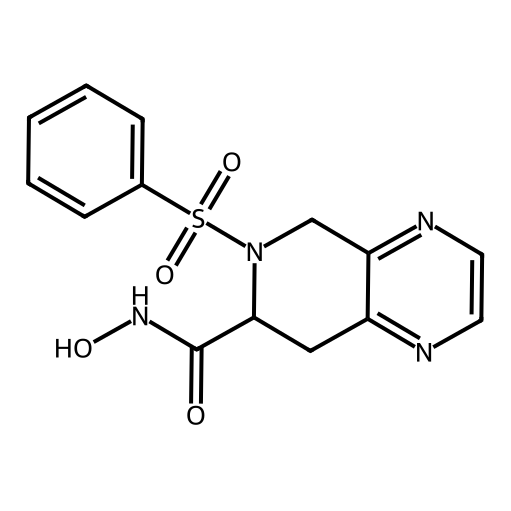 O=C(NO)C1Cc2nccnc2CN1S(=O)(=O)c1ccccc1